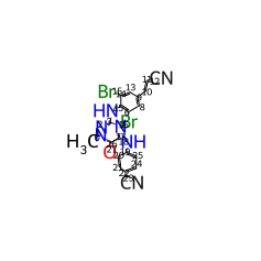 Cn1nc(Nc2c(Br)cc(/C=C/C#N)cc2Br)nc(Nc2ccc(C#N)cc2)c1=O